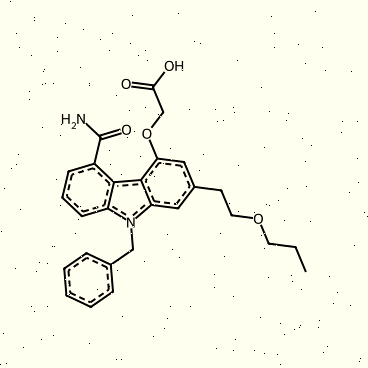 CCCOCCc1cc(OCC(=O)O)c2c3c(C(N)=O)cccc3n(Cc3ccccc3)c2c1